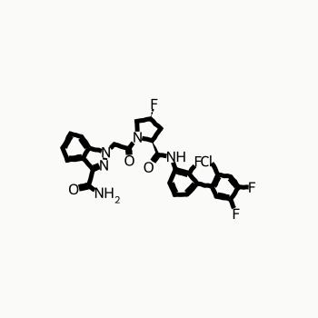 NC(=O)c1nn(CC(=O)N2C[C@H](F)C[C@H]2C(=O)Nc2cccc(-c3cc(F)c(F)cc3Cl)c2F)c2ccccc12